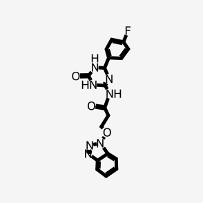 O=C(CCOn1nnc2ccccc21)NC1=NC(c2ccc(F)cc2)NC(=O)N1